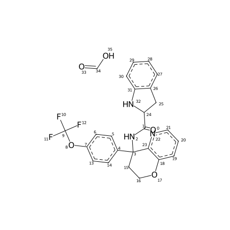 O=C(NC1(c2ccc(OC(F)(F)F)cc2)CCOc2cccnc21)C1Cc2ccccc2N1.O=CO